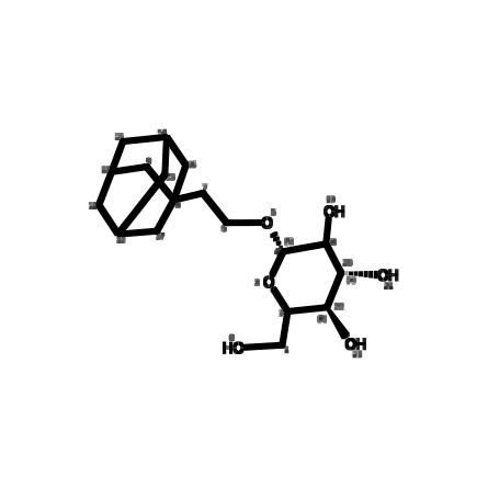 OCC1O[C@H](OCCC23CC4CC(CC(C4)C2)C3)C(O)[C@H](O)[C@H]1O